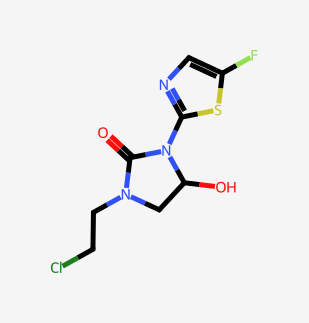 O=C1N(CCCl)CC(O)N1c1ncc(F)s1